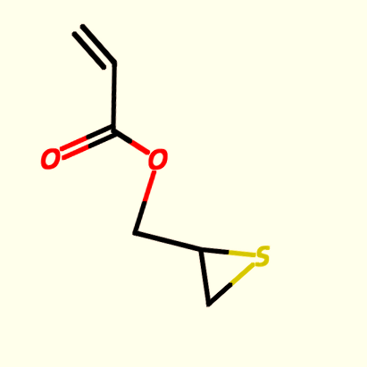 C=CC(=O)OCC1CS1